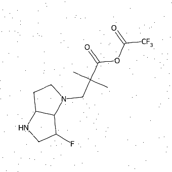 CC(C)(CN1CCC2NCC(F)C21)C(=O)OC(=O)C(F)(F)F